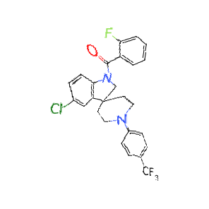 O=C(c1ccccc1F)N1CC2(CCN(c3ccc(C(F)(F)F)cc3)CC2)c2cc(Cl)ccc21